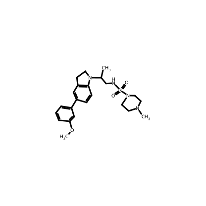 COc1cccc(-c2ccc3c(c2)CCN3C(C)CNS(=O)(=O)N2CCN(C)CC2)c1